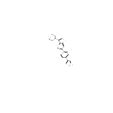 Oc1cc(-c2cn[nH]c2)ccc1-c1cc2[nH]cc(C3CCNCC3)c2nn1